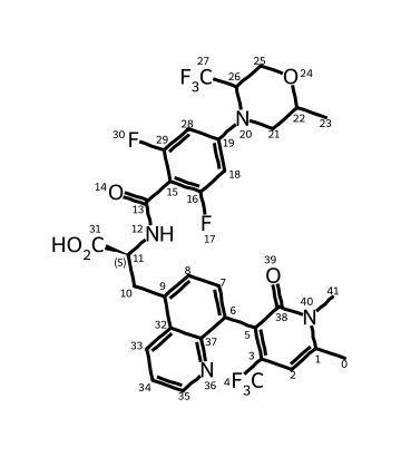 Cc1cc(C(F)(F)F)c(-c2ccc(C[C@H](NC(=O)c3c(F)cc(N4CC(C)OCC4C(F)(F)F)cc3F)C(=O)O)c3cccnc23)c(=O)n1C